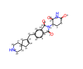 O=C1CCC(N2C(=O)c3ccc(CC4=CCC5(CCNCC5)C4)cc3C2=O)C(=O)N1